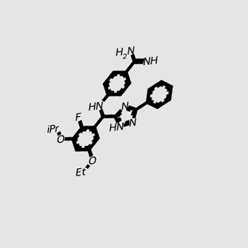 CCOc1cc(OC(C)C)c(F)c(C(Nc2ccc(C(=N)N)cc2)c2nc(-c3ccccc3)n[nH]2)c1